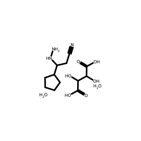 N#CCC(NN)C1CCCC1.O.O.O=C(O)C(O)C(O)C(=O)O